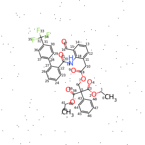 CCOC(=O)C(COC(=O)Cc1cccc(C=O)c1NC(=O)c1ccccc1-c1ccc(C(F)(F)F)cc1)(C(=O)OCC)c1ccccc1